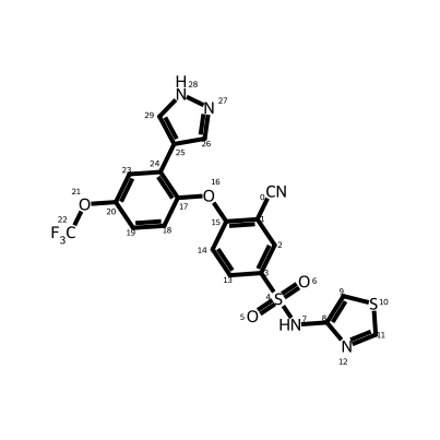 N#Cc1cc(S(=O)(=O)Nc2cscn2)ccc1Oc1ccc(OC(F)(F)F)cc1-c1cn[nH]c1